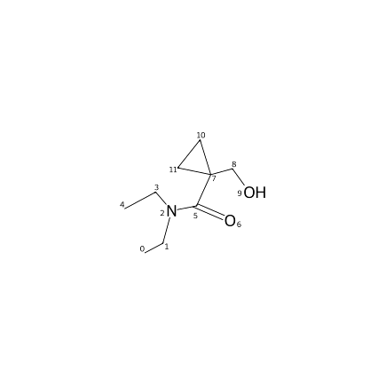 CCN(CC)C(=O)C1(CO)CC1